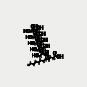 CCCCCCCCCCCC(=O)O.OCC(O)CO.OCC(O)CO.OCC(O)CO.OCC(O)CO.OCC(O)CO